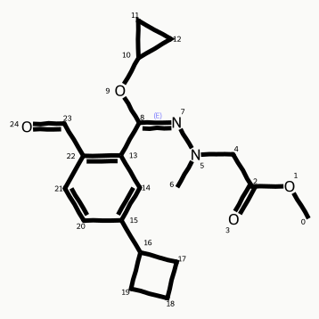 COC(=O)CN(C)/N=C(/OC1CC1)c1cc(C2CCC2)ccc1C=O